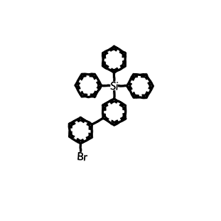 Brc1cccc(-c2cccc([Si](c3ccccc3)(c3ccccc3)c3ccccc3)c2)c1